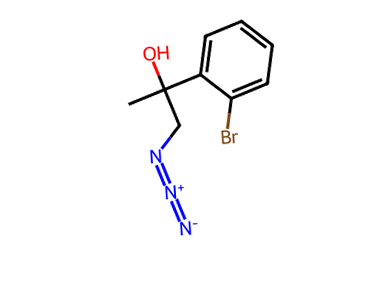 CC(O)(CN=[N+]=[N-])c1ccccc1Br